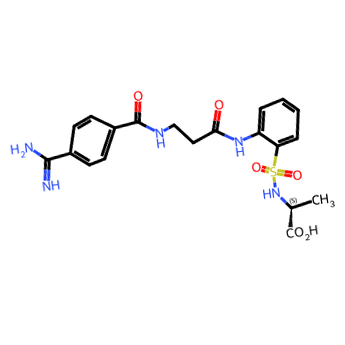 C[C@H](NS(=O)(=O)c1ccccc1NC(=O)CCNC(=O)c1ccc(C(=N)N)cc1)C(=O)O